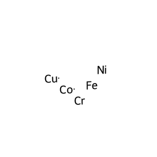 [Co].[Cr].[Cu].[Fe].[Ni]